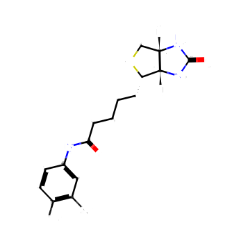 O=Cc1ccc(NC(=O)CCCC[C@@H]2SC[C@@H]3NC(=O)N[C@@H]32)cc1[N+](=O)[O-]